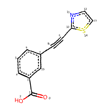 O=C(O)c1cccc(C#Cc2nccs2)c1